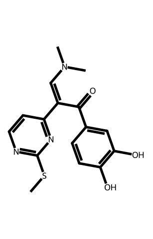 CSc1nccc(/C(=C/N(C)C)C(=O)c2ccc(O)c(O)c2)n1